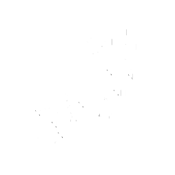 C[C@@H]1CN(S(=O)(=O)c2cnc3cccnn23)CC[C@@H]1Nc1ncc(C(F)(F)F)c(-c2cccs2)n1